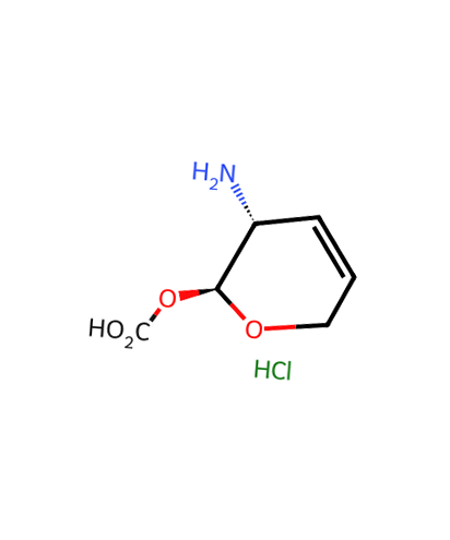 Cl.N[C@@H]1C=CCO[C@H]1OC(=O)O